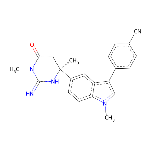 CN1C(=N)N[C@](C)(c2ccc3c(c2)c(-c2ccc(C#N)cc2)cn3C)CC1=O